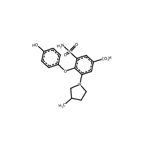 CC1CCN(c2cc(C(=O)O)cc(S(N)(=O)=O)c2Oc2ccc(O)cc2)C1